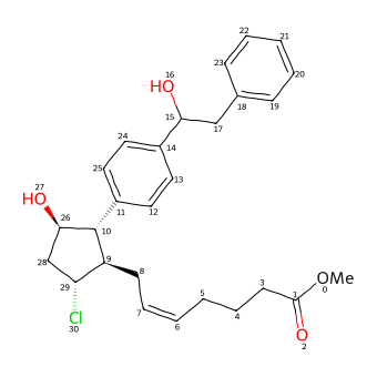 COC(=O)CCC/C=C\C[C@@H]1[C@@H](c2ccc(C(O)Cc3ccccc3)cc2)[C@H](O)C[C@H]1Cl